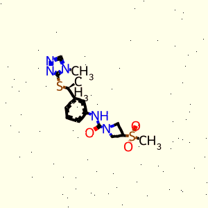 C[C@H](Sc1nncn1C)c1cccc(NC(=O)N2CC(S(C)(=O)=O)C2)c1